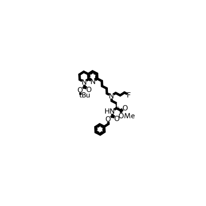 COC(=O)[C@H](CCN(CCCF)CCCCc1ccc2c(n1)N(C(=O)OC(C)(C)C)CCC2)NC(=O)OCc1ccccc1